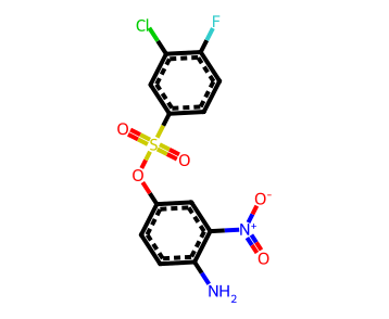 Nc1ccc(OS(=O)(=O)c2ccc(F)c(Cl)c2)cc1[N+](=O)[O-]